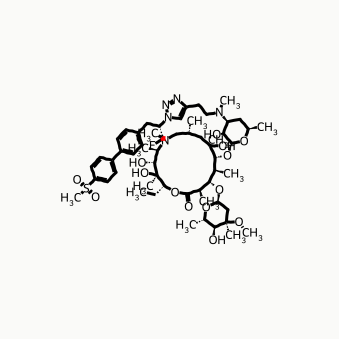 CC[C@H]1OC(=O)[C@H](C)[C@@H](O[C@H]2C[C@@](C)(OC)[C@@H](O)[C@H](C)O2)[C@H](C)[C@@H](O[C@@H]2O[C@H](C)C[C@H](N(C)CCc3cn([C@H](CF)Cc4ccc(-c5ccc(S(C)(=O)=O)cc5)cc4)nn3)[C@H]2O)[C@](C)(O)C[C@@H](C)CN(C)[C@H](C)[C@@H](O)[C@]1(C)O